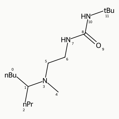 CCCCC(CCC)N(C)CCNC(=O)NC(C)(C)C